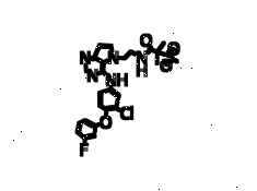 CC(C)(C(=O)NCCn1ccc2ncnc(Nc3ccc(Oc4cccc(F)c4)c(Cl)c3)c21)S(C)(=O)=O